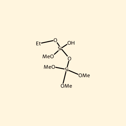 CCO[Si](O)(OC)O[Si](OC)(OC)OC